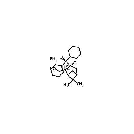 B.CC1(C)C2CC1[C@H](CO)[C@H](P(=O)(C1CCCCC1)C1CCCCC1)C2